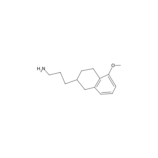 COc1cccc2c1CCC(CCCN)C2